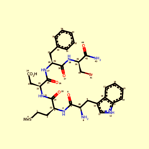 CSCC[C@H](NC(=O)[C@H](N)Cc1c[nH]c2ccccc12)C(=O)N[C@@H](CC(=O)O)C(=O)N[C@@H](Cc1ccccc1)C(=O)N[C@H](CBr)C(N)=O